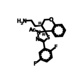 CC(=O)N1N=C(c2cc(F)ccc2F)S[C@@]12c1ccccc1OC[C@@H]2CCN